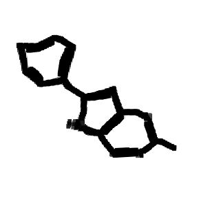 Cc1n[c]c2[nH]c(-c3ccccc3)cc2n1